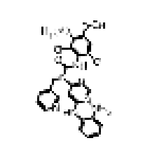 COc1cc(Cl)c(NC(=O)N(Cc2cccnc2)c2cc(Nc3ccccc3N)ncn2)c(Cl)c1OC